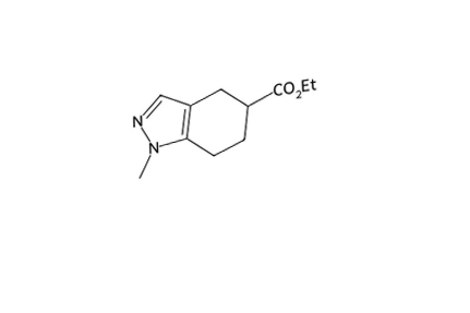 CCOC(=O)C1CCc2c(cnn2C)C1